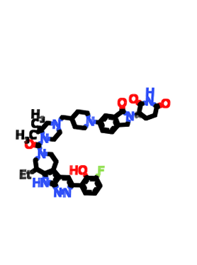 CCC1CN(C(=O)N2CCN(CC3CCN(c4ccc5c(c4)C(=O)N([C@H]4CCC(=O)NC4=O)C5)CC3)CC2(C)C)CCc2c1[nH]c1nnc(-c3cccc(F)c3O)cc21